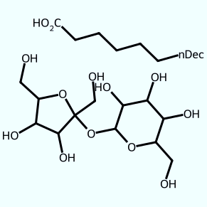 CCCCCCCCCCCCCCCC(=O)O.OCC1OC(OC2(CO)OC(CO)C(O)C2O)C(O)C(O)C1O